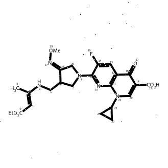 CCOC(=O)C=C(C)NCC1CN(c2nc3c(cc2F)c(=O)c(C(=O)O)cn3C2CC2)CC1=NOC